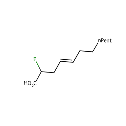 CCCCCCCC=CCC(F)C(=O)O